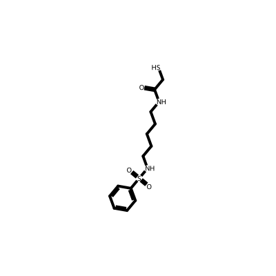 O=C(CS)NCCCCCNS(=O)(=O)c1ccccc1